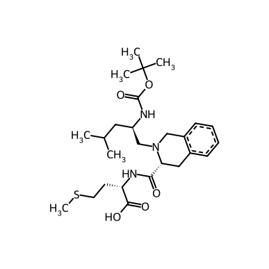 CSCC[C@H](NC(=O)[C@H]1Cc2ccccc2CN1C[C@@H](CC(C)C)NC(=O)OC(C)(C)C)C(=O)O